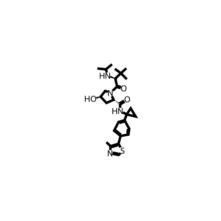 Cc1ncsc1-c1ccc(C2(NC(=O)[C@@H]3C[C@@H](O)CN3C(=O)[C@@H](NC(C)C)C(C)(C)C)CC2)cc1